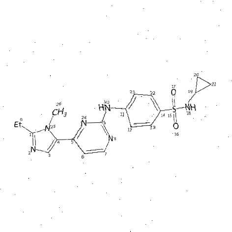 CCc1ncc(-c2ccnc(Nc3ccc(S(=O)(=O)NC4CC4)cc3)n2)n1C